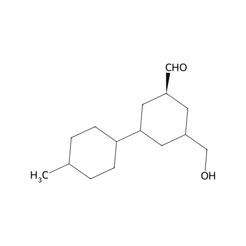 CC1CCC(C2CC(CO)C[C@H](C=O)C2)CC1